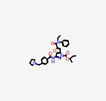 CCC(C)OC(=O)n1nc(NC(=O)c2ccc(CN3CCCC3)cc2)c2oc(C(=O)N(CC)c3ccccc3)cc21